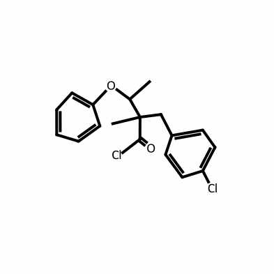 CC(Oc1ccccc1)C(C)(Cc1ccc(Cl)cc1)C(=O)Cl